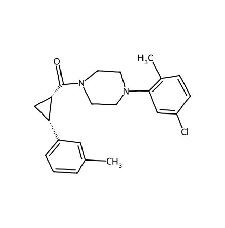 Cc1cccc([C@@H]2C[C@@H]2C(=O)N2CCN(c3cc(Cl)ccc3C)CC2)c1